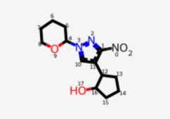 O=[N+]([O-])c1nn(C2CCCCO2)cc1C1CCCC1O